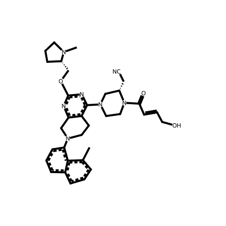 Cc1cccc2cccc(N3CCc4c(nc(OC[C@@H]5CCCN5C)nc4N4CCN(C(=O)/C=C/CO)[C@@H](CC#N)C4)C3)c12